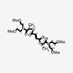 COCCN(CCOC)C(=O)[C@H](C)OC(=O)/C=C/C(=O)O[C@@H](C)C(=O)N(CCOC)CCOC